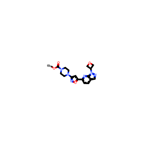 CC(C)(C)OC(=O)N1CCN(c2cc(-c3ccc4cnn(C5COC5)c4n3)on2)CC1